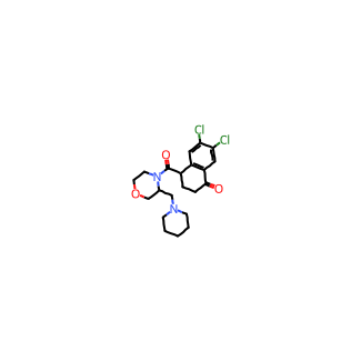 O=C1CCC(C(=O)N2CCOCC2CN2CCCCC2)c2cc(Cl)c(Cl)cc21